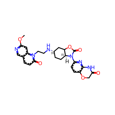 COc1cc2c(ccc(=O)n2CCN[C@H]2CC[C@H]3C(C2)OC(=O)N3c2ccc3c(n2)NC(=O)CO3)cn1